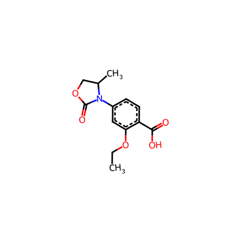 CCOc1cc(N2C(=O)OCC2C)ccc1C(=O)O